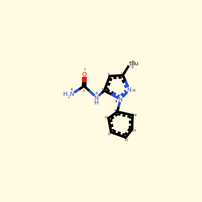 CC(C)(C)c1cc(NC(N)=O)n(-c2ccccc2)n1